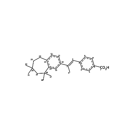 C/C(=C\c1ccc(C(=O)O)cc1)c1ccc2c(c1)C(C)(C)CC(C)(C)CC2